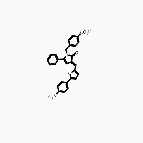 O=C(O)c1ccc(CN2C(=O)C(=Cc3ccc(-c4ccc([N+](=O)[O-])cc4)o3)C=C2c2ccccc2)cc1